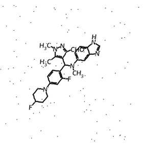 Cc1c(C(c2ccc(N3CCC(F)CC3)cc2F)N(C)c2ccc3[nH]cnc3c2)c(C=O)nn1C